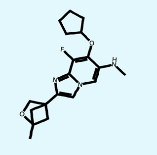 CNc1cn2cc(C34COC(C)(C3)C4)nc2c(F)c1OC1CCCC1